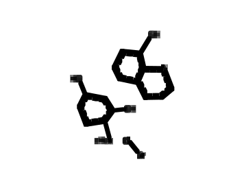 CCCCCCc1ccc(O)cc1O.ClBr.Oc1cccc2cccnc12